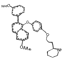 COc1cccc(-c2ccc3cc(OC)ccc3c2Oc2ccc(OCCC3CCCCN3)cc2)c1